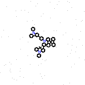 CC1(C)c2ccccc2N(c2ccccc2)c2cccc(-c3ccc(N(c4ccc(-c5ccc6c(c5)c5ccccc5n6-c5ccccc5)cc4)c4cccc5c4C4=CCCC=C4C54c5ccccc5-c5ccccc54)cc3)c21